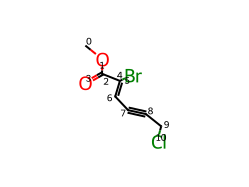 COC(=O)C(Br)=CC#CCCl